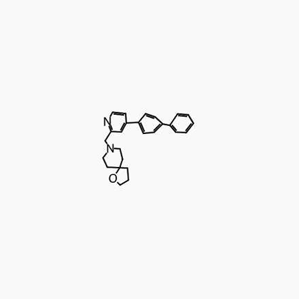 c1ccc(-c2ccc(-c3ccnc(CN4CCC5(CCCO5)CC4)c3)cc2)cc1